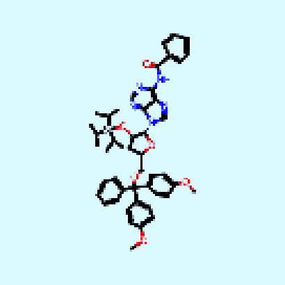 COc1ccc(C(OC[C@H]2[CH][C@@H](O[Si](C(C)C)(C(C)C)C(C)C)[C@H](n3cnc4c(NC(=O)c5ccccc5)ncnc43)O2)(c2ccccc2)c2ccc(OC)cc2)cc1